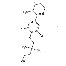 CC1CCCN=C1c1cc(F)c(OCC(C)(C)CCO)c(Cl)c1